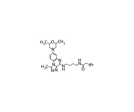 Cc1nnc2c(NCCCCNC(=O)CC(C)C)nc3cc(N4CC(C)OC(C)C4)ccc3n12